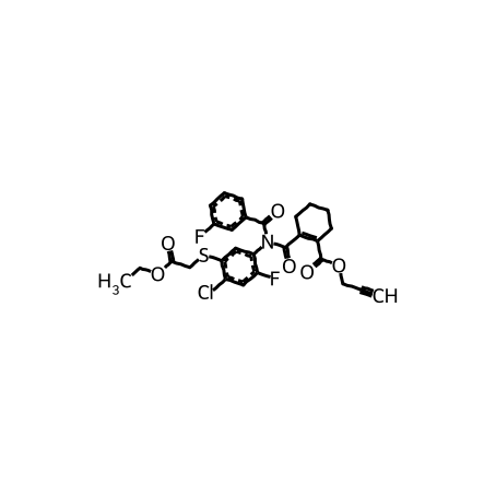 C#CCOC(=O)C1=C(C(=O)N(C(=O)c2cccc(F)c2)c2cc(SCC(=O)OCC)c(Cl)cc2F)CCCC1